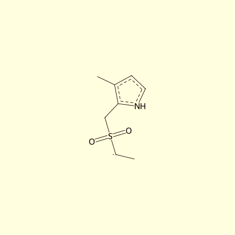 C[CH]S(=O)(=O)Cc1[nH]ccc1C